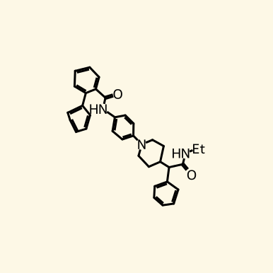 CCNC(=O)C(c1ccccc1)C1CCN(c2ccc(NC(=O)c3ccccc3-c3ccccc3)cc2)CC1